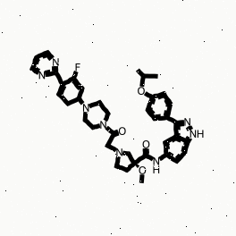 CO[C@@]1(C(=O)Nc2ccc3[nH]nc(-c4ccc(OC(C)C)cc4)c3c2)CCN(CC(=O)N2CCN(C3C=C(F)C(c4ncccn4)=CC3)CC2)C1